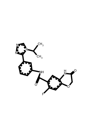 CC(C)n1cnnc1-c1cccc(NC(=O)c2cc3c(cc2F)OCC(=O)N3)c1